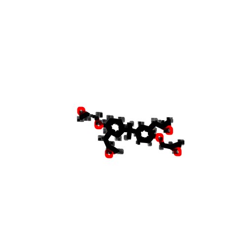 CC(C)(c1ccc(OCC2CO2)c(CC2CO2)c1)c1ccc(OC[C@@H]2CO2)c(CC2CO2)c1